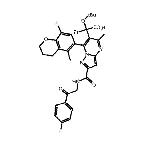 CCC(OC(C)(C)C)(C(=O)O)c1c(C)nc2cc(C(=O)NCC(=O)c3ccc(F)cc3)nn2c1-c1cc(F)c2c(c1C)CCCO2